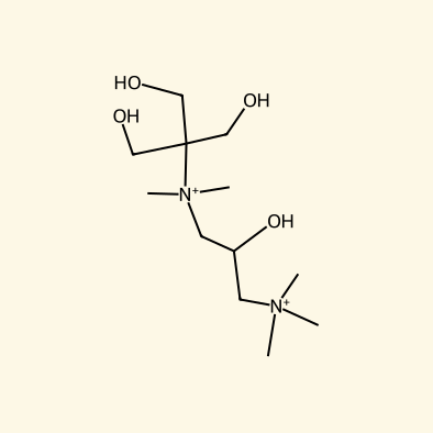 C[N+](C)(C)CC(O)C[N+](C)(C)C(CO)(CO)CO